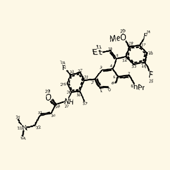 C\C=C(/C=C(C(\C)=C\CCC)/C(=C\CC)c1cc(F)cc(F)c1OC)c1cc(F)cc(NC(=O)/C=C/CN(C)C)c1C